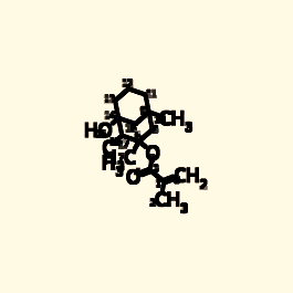 C=C(C)C(=O)OC1(C)CC2(C)CCCC(O)(C2)C1C